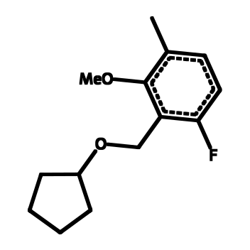 COc1c(C)ccc(F)c1COC1CCCC1